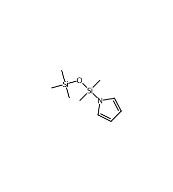 C[Si](C)(C)O[Si](C)(C)n1cccc1